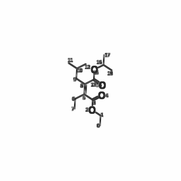 CCOC(=O)/C(CC)=C(/CC(C)C)C(=O)OC(C)C